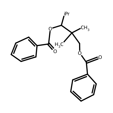 CC(C)C(OC(=O)c1ccccc1)C(C)(C)COC(=O)c1ccccc1